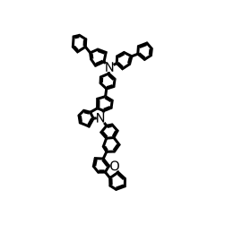 c1ccc(-c2ccc(N(c3ccc(-c4ccccc4)cc3)c3ccc(-c4ccc5c(c4)c4ccccc4n5-c4ccc5ccc(-c6cccc7c6oc6ccccc67)cc5c4)cc3)cc2)cc1